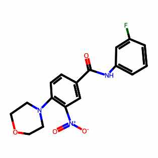 O=C(Nc1cccc(F)c1)c1ccc(N2CCOCC2)c([N+](=O)[O-])c1